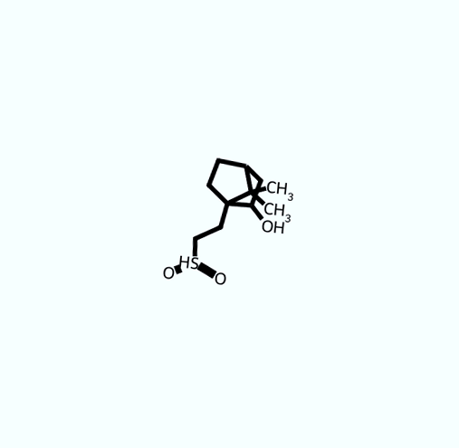 CC1(C)C2CCC1(CC[SH](=O)=O)C(O)C2